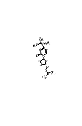 CC(C)OC[C@H]1O[C@@H](n2ccc(N(C)C(C)C)nc2=O)CS1